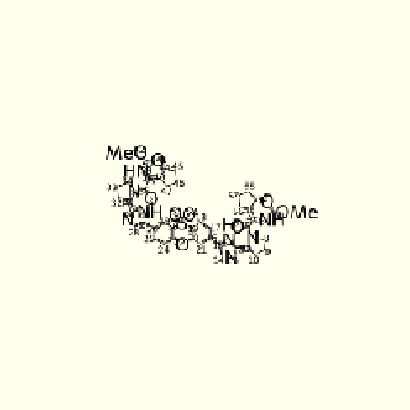 COC(=O)N[C@H](C(=O)N1CCC[C@H]1c1ncc(-c2ccc3c(c2)Oc2ccc(-c4cnc([C@@H]5CCCN5C(=O)[C@@H](NC(=O)OC)C5CCCC5)[nH]4)cc2S3(=O)=O)[nH]1)C1CCCC1